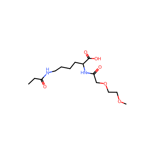 CCC(=O)NCCCCC(NC(=O)COCCOC)C(=O)O